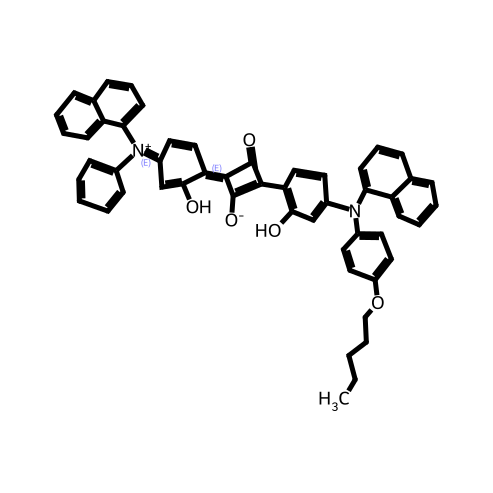 CCCCCOc1ccc(N(c2ccc(C3=C([O-])/C(=C4C=C/C(=[N+](/c5ccccc5)c5cccc6ccccc56)C=C/4O)C3=O)c(O)c2)c2cccc3ccccc23)cc1